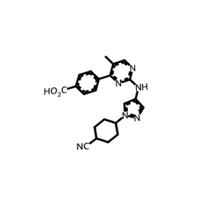 Cc1cnc(Nc2cnn(C3CCC(C#N)CC3)c2)nc1-c1ccc(C(=O)O)cc1